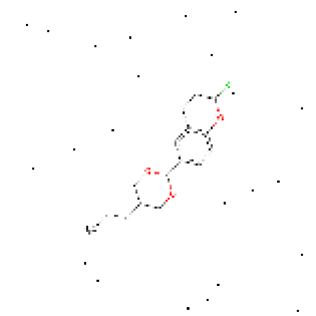 CCCC1COC(c2ccc3c(c2)CCC(Cl)O3)OC1